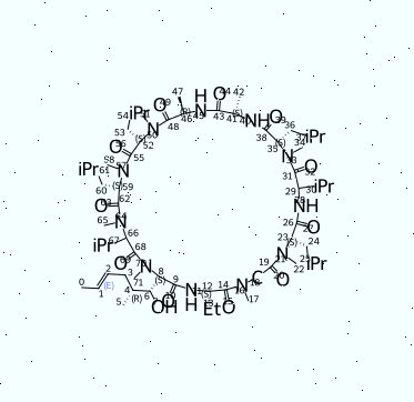 C/C=C/C[C@@H](C)C(O)[C@H]1C(=O)N[C@@H](CC)C(=O)N(C)CC(=O)N(C)[C@@H](CC(C)C)C(=O)NC(C(C)C)C(=O)N(C)[C@@H](CC(C)C)C(=O)N[C@@H](C)C(=O)N[C@H](C)C(=O)N(C)[C@@H](CC(C)C)C(=O)N(C)[C@@H](CC(C)C)C(=O)N(C)C(C(C)C)C(=O)N1C